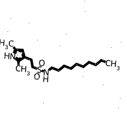 CCCCCCCCCCNS(=O)(=O)CCc1cc(C)[nH]c1C